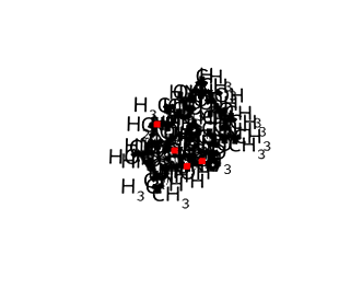 CC(C)C[C@H](NC(=O)CN)C(=O)N[C@@H](Cc1ccc(O)cc1)C(=O)N[C@@H](CO)C(=O)N[C@@H](CC(C)C)C(=O)N[C@@H](CO)C(=O)N[C@@H](CO)C(=O)N[C@H](C(=O)N[C@H](C(=O)N[C@H](C(=O)N[C@H](C(=O)N1CCC[C@H]1C(=O)N[C@@H](CO)C(=O)N[C@@H](CO)C(=O)N[C@@H](CO)C(=O)N[C@@H](CC(C)C)C(=O)NCC(=O)N[C@H](C(=O)N[C@@H](CCC(N)=O)C(=O)N[C@H](C(=O)O)[C@@H](C)O)[C@@H](C)O)C(C)C)[C@@H](C)O)C(C)C)C(C)C